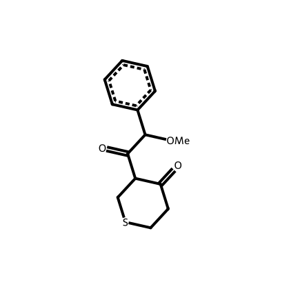 COC(C(=O)C1CSCCC1=O)c1ccccc1